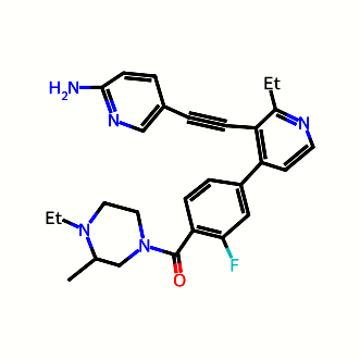 CCc1nccc(-c2ccc(C(=O)N3CCN(CC)C(C)C3)c(F)c2)c1C#Cc1ccc(N)nc1